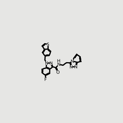 O=C(NCCc1nnc2ccccn12)c1nn(Cc2ccc3sccc3c2)c2ccc(F)cc12